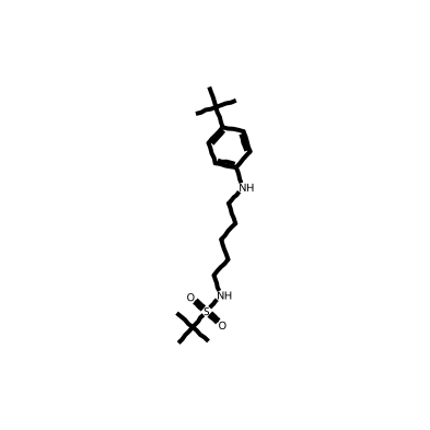 CC(C)(C)c1ccc(NCCCCCNS(=O)(=O)C(C)(C)C)cc1